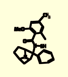 COc1cc(C(F)(F)F)cc(C)c1C(=O)N(S)C1(c2ccccc2)CCC2CCC1N2C